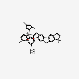 Cl.Cl.[CH2]=[Zr]([C]1=CC(C)=CC1C)([C]1=Cc2cc3c(cc2C1(C)C)Cc1cc2c(cc1-3)C=CC2(C)C)([c]1ccc(F)cc1)[c]1ccc(F)cc1